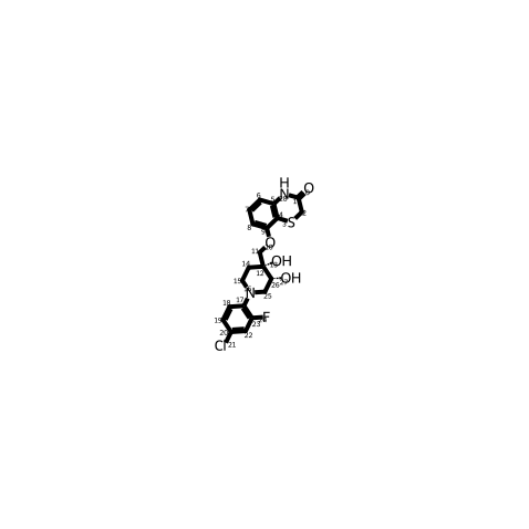 O=C1CSc2c(cccc2OC[C@]2(O)CCN(c3ccc(Cl)cc3F)C[C@H]2O)N1